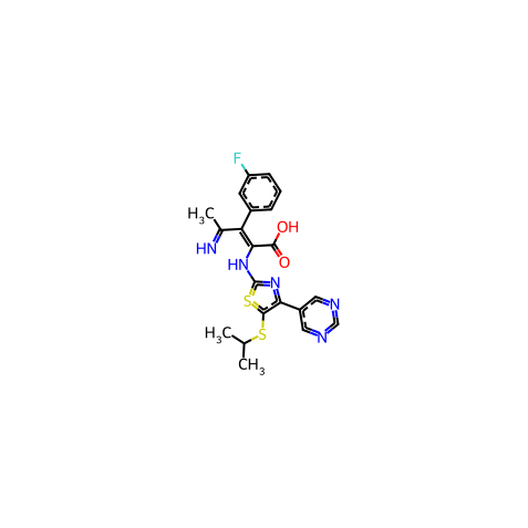 CC(=N)/C(=C(\Nc1nc(-c2cncnc2)c(SC(C)C)s1)C(=O)O)c1cccc(F)c1